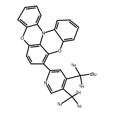 [2H]C([2H])([2H])c1cnc(-c2ccc3c4c2Oc2ccccc2N4c2ccccc2O3)cc1C([2H])([2H])C(C)(C)C